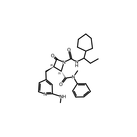 CCC(NC(=O)N1C(=O)[C@H](Cc2ccnc(NC)c2)[C@H]1C(=O)N(C)c1ccccc1)C1CCCCC1